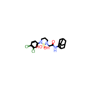 O=C(CN1CCCN(c2ccc(Cl)c(Cl)c2)S1(O)O)NC1C2CC3CC(C2)CC1C3